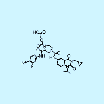 CC(C)n1c(=O)n(CC2CC2)c(=O)c2cc(NC(=O)N3CCN(C(=O)OCC(=O)O)C(C(=O)Nc4ccc(C#N)c(F)c4)C3)ccc21